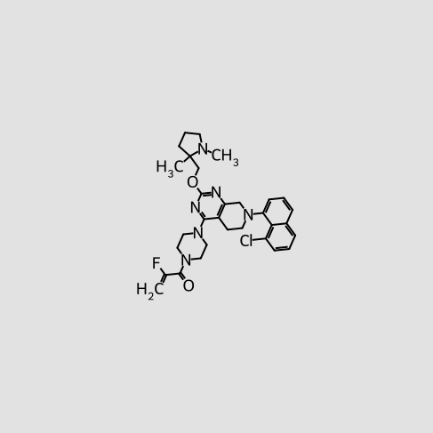 C=C(F)C(=O)N1CCN(c2nc(OCC3(C)CCCN3C)nc3c2CCN(c2cccc4cccc(Cl)c24)C3)CC1